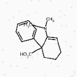 CN(C)C1=CCCCC1(C(=O)O)c1ccccc1